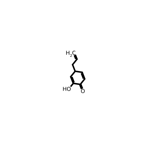 C=CCC1C=CC(=O)C(O)=C1